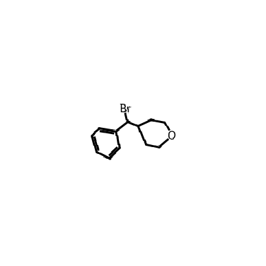 BrC(c1ccccc1)C1CCOCC1